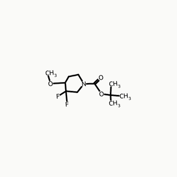 COC1CCN(C(=O)OC(C)(C)C)CC1(F)F